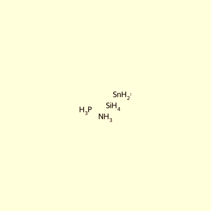 N.P.[SiH4].[SnH2]